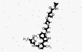 Cc1cnc(Nc2cc(C)n(C)n2)nc1-c1c[nH]c2c(NC(=O)CN3CC(Oc4cc(C(=O)NC5CC5)on4)C3)cccc12